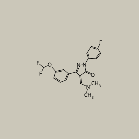 CN(C)C=C1C(=O)N(c2ccc(F)cc2)N=C1c1cccc(OC(F)F)c1